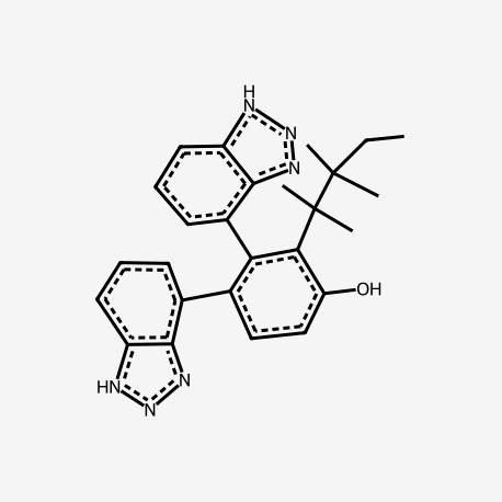 CCC(C)(C)C(C)(C)c1c(O)ccc(-c2cccc3[nH]nnc23)c1-c1cccc2[nH]nnc12